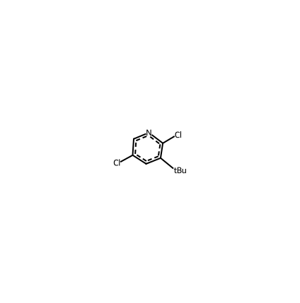 CC(C)(C)c1cc(Cl)cnc1Cl